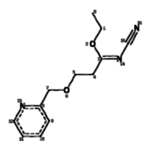 CCOC(CCOCc1ccccn1)=NC#N